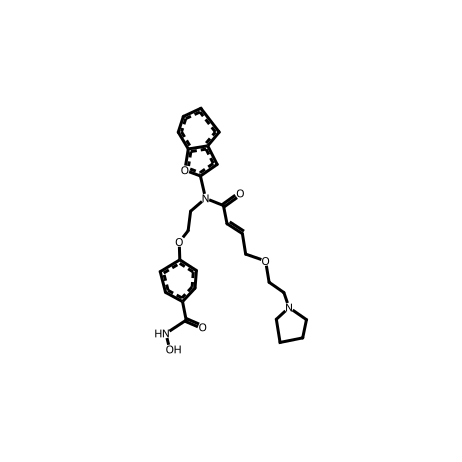 O=C(NO)c1ccc(OCCN(C(=O)C=CCOCCN2CCCC2)c2cc3ccccc3o2)cc1